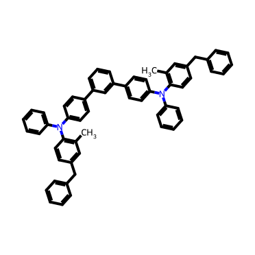 Cc1cc(Cc2ccccc2)ccc1N(c1ccccc1)c1ccc(-c2cccc(-c3ccc(N(c4ccccc4)c4ccc(Cc5ccccc5)cc4C)cc3)c2)cc1